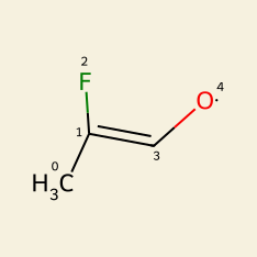 CC(F)=C[O]